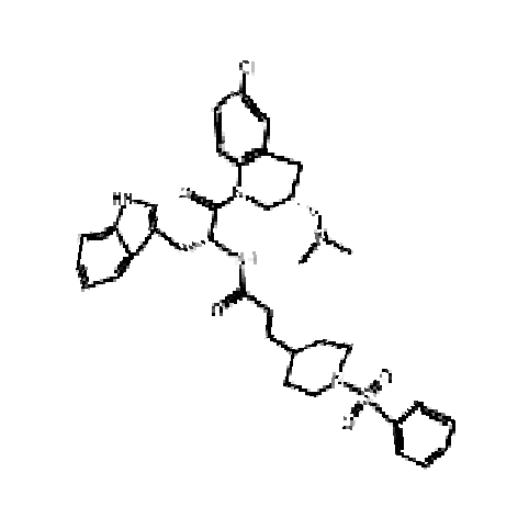 CN(C)C[C@H]1Cc2cc(Cl)ccc2N(C(=O)[C@@H](Cc2c[nH]c3ccccc23)NC(=O)CCC2CCN(S(=O)(=O)c3ccccc3)CC2)C1